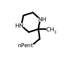 CCCCCCC1(C)CNCCN1